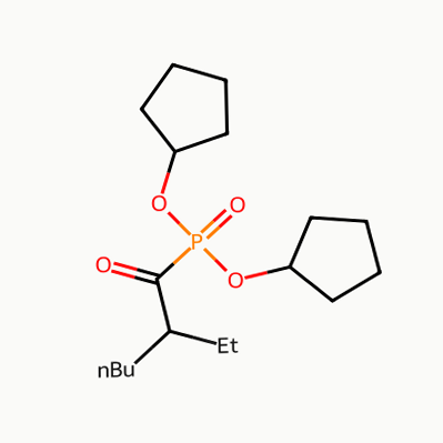 CCCCC(CC)C(=O)P(=O)(OC1CCCC1)OC1CCCC1